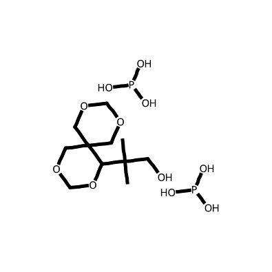 CC(C)(CO)C1OCOCC12COCOC2.OP(O)O.OP(O)O